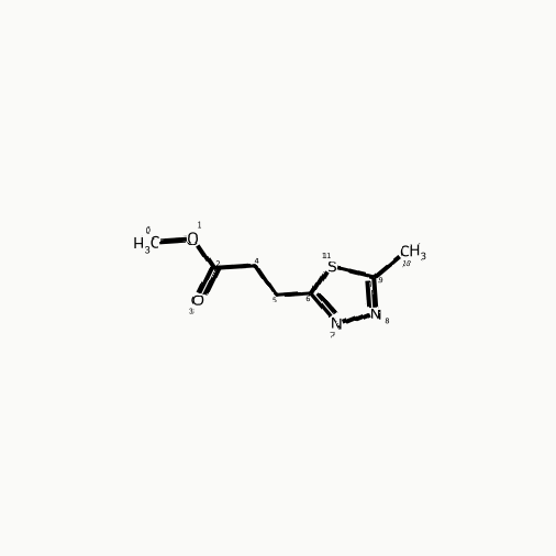 COC(=O)CCc1nnc(C)s1